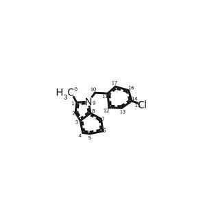 Cc1cc2ccccc2n1Cc1ccc(Cl)cc1